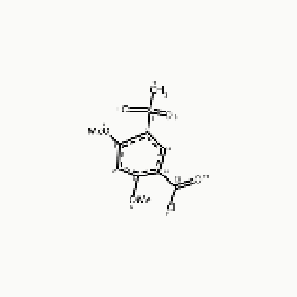 COc1cc(OC)c(S(C)(=O)=O)cc1C(=O)Cl